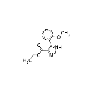 CCOC(=O)c1nc[nH]c1-c1ccccc1OC